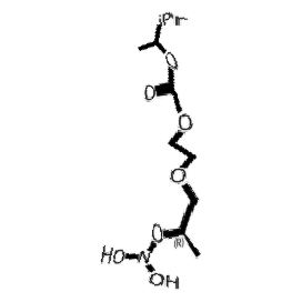 CC(C)C(C)OC(=O)OCCOC[C@@H](C)ON(O)O